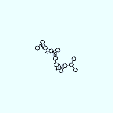 CC1(C)c2cc3c(cc2-c2cc4c5ccccc5n(-c5ccc(-c6ccc7c(c6)-n6c8ccc(-c9cc(-c%10ccccc%10)cc(-c%10ccccc%10)c9)cc8c8cccc(c86)C7(C)C)cc5)c4cc21)c1ccccc1n3-c1ccccc1